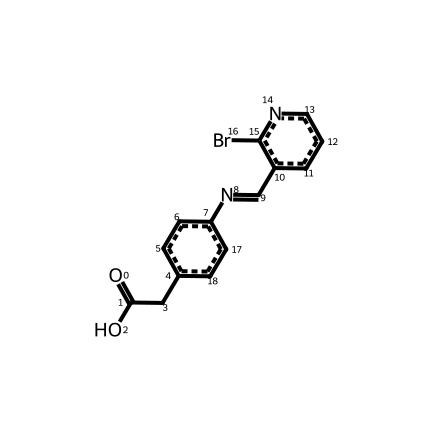 O=C(O)Cc1ccc(/N=C/c2cccnc2Br)cc1